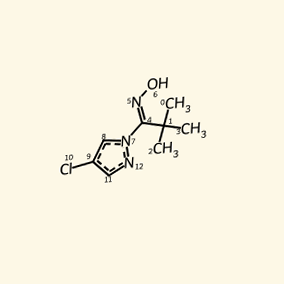 CC(C)(C)C(=NO)n1cc(Cl)cn1